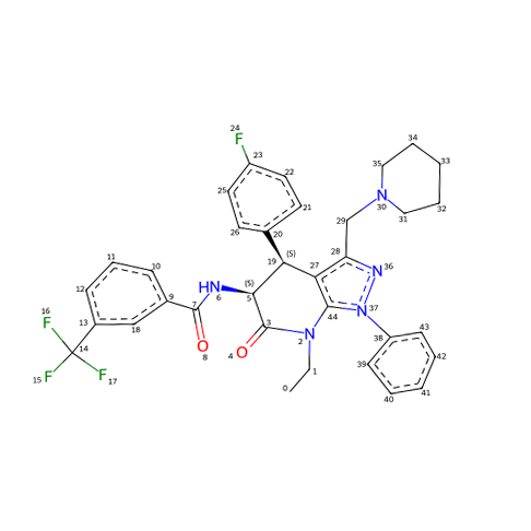 CCN1C(=O)[C@@H](NC(=O)c2cccc(C(F)(F)F)c2)[C@@H](c2ccc(F)cc2)c2c(CN3CCCCC3)nn(-c3ccccc3)c21